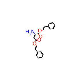 N/C(=C/C(=O)OC=Cc1ccccc1)C(=O)OC=Cc1ccccc1